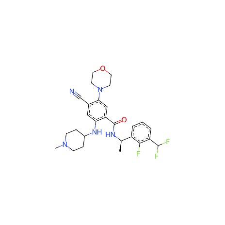 C[C@@H](NC(=O)c1cc(N2CCOCC2)c(C#N)cc1NC1CCN(C)CC1)c1cccc(C(F)F)c1F